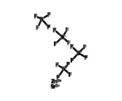 F[B-](F)(F)F.F[B-](F)(F)F.F[B-](F)(F)F.F[B-](F)(F)F.[Sr+2].[Zn+2]